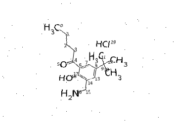 CCCCC(=O)c1cc(C(C)(C)C)cc(CN)c1O.Cl